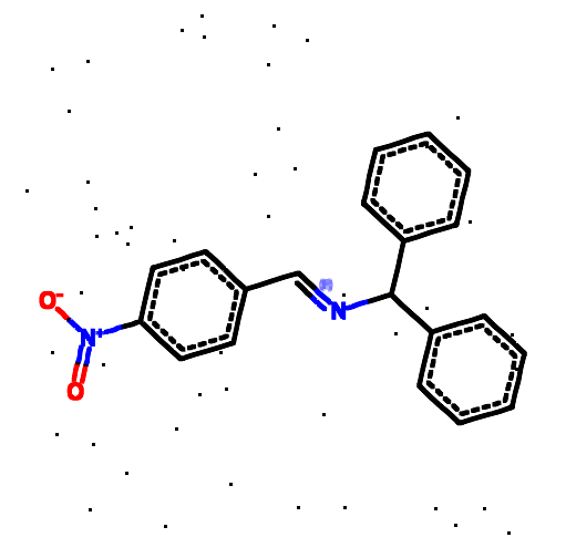 O=[N+]([O-])c1ccc(/C=N/C(c2ccccc2)c2ccccc2)cc1